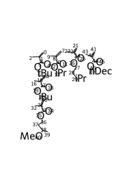 C=C(C)C(=O)OC(C)(C)C.C=C(C)C(=O)OC(C)C.C=C(C)C(=O)OC(C)CC.C=C(C)C(=O)OCCC(C)C.C=C(C)C(=O)OCCC(C)OC.C=C(C)C(=O)OCCCCCCCCCC